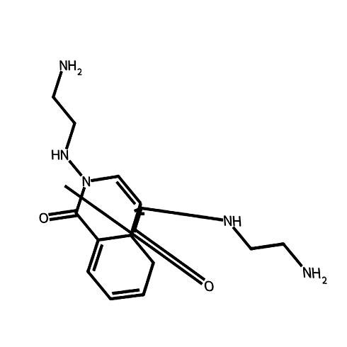 NCCNC1=CC2=CN(NCCN)C(=O)C3=CC=CCC23CC1=O